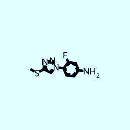 CSc1cn(-c2ccc(N)cc2F)nn1